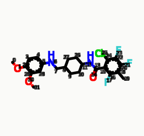 COc1ccc(NCC2CCC(NC(=O)c3c(F)c(C)c(F)c(F)c3Cl)CC2)cc1OC